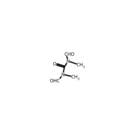 CN(C=O)C(=O)N(C)C=O